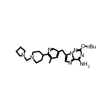 CCCCOc1nc(N)c2ncc(Cc3cnc(C4CCN(CN5CCCC5)CC4)c(C)c3)n2n1